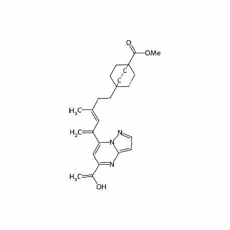 C=C(O)c1cc(C(=C)/C=C(\C)CCC23CCC(C(=O)OC)(CC2)CC3)n2nccc2n1